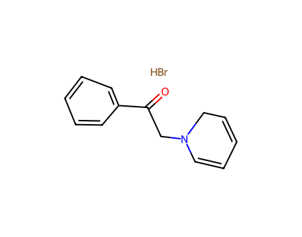 Br.O=C(CN1C=CC=CC1)c1ccccc1